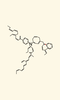 C=CC(/C=C/C=C\C=C/C)=C\C=C(/C)C(=C)/C=C\C(=C/CC)N(/C1=C/C=C(/CC(=C)/C=C\C(=C/C)c2ccccc2)CC=CC1)c1ccc(C(=C)/C=C\C(=C/C)C/C=C\C=C/CC)cc1